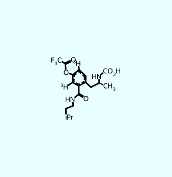 [3H]c1cc(C[C@H](C)NC(=O)O)c(C(=O)NCCC(C)C)c([3H])c1OC(=O)C(F)(F)F